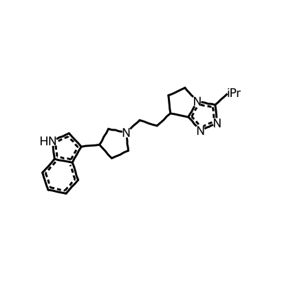 CC(C)c1nnc2n1CCC2CCN1CCC(c2c[nH]c3ccccc23)C1